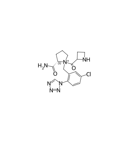 NC(=O)[C@@H]1CCC[N+]1(Cc1cc(Cl)ccc1-n1cnnn1)C(=O)C1CCN1